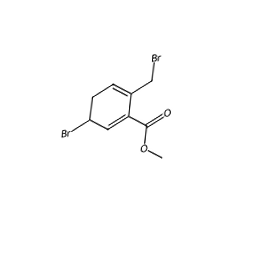 COC(=O)C1=CC(Br)CC=C1CBr